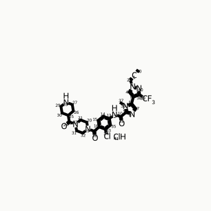 C=C=Cn1cc(-c2cnc(C(=O)Nc3ccc(C(=O)N4CCN(C(=O)C5CCNCC5)CC4)c(Cl)c3)n2C)c(C(F)(F)F)n1.Cl